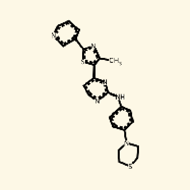 Cc1nc(-c2cccnc2)sc1-c1ccnc(Nc2ccc(N3CCSCC3)cc2)n1